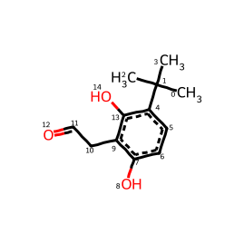 CC(C)(C)c1ccc(O)c(CC=O)c1O